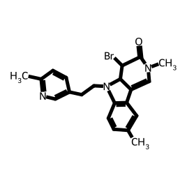 Cc1ccc2c(c1)C1=CN(C)C(=O)C(Br)C1N2CCc1ccc(C)nc1